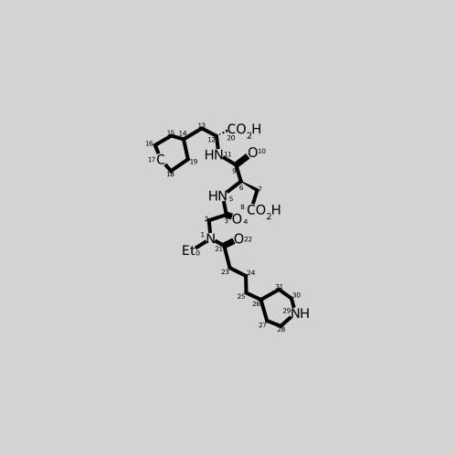 CCN(CC(=O)N[C@H](CC(=O)O)C(=O)N[C@H](CC1CCCCC1)C(=O)O)C(=O)CCCC1CCNCC1